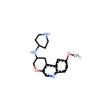 COc1ccc2ncc3c(c2c1)CC(NC1CCNCC1)CO3